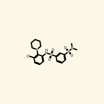 CN(C)S(=O)(=O)c1cccc(S(=O)(=O)Nc2cccc(Cl)c2N2CCCCC2)c1